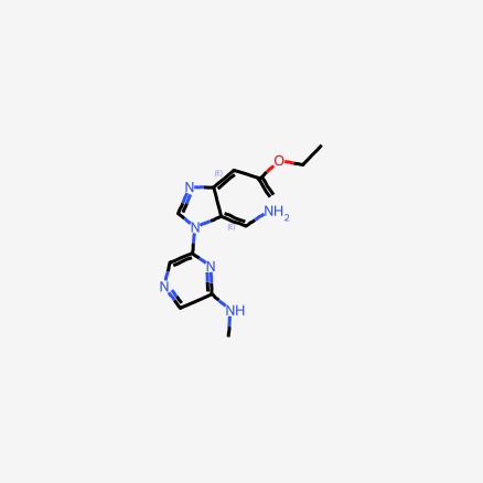 C=C(/C=c1/ncn(-c2cncc(NC)n2)/c1=C/N)OCC